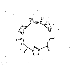 CC[C@H]1NC(=O)c2csc(n2)[C@@H](C(C)C)NC(=O)c2coc(n2)[C@H](C)NC(=O)[C@H]2COC1=N2